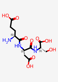 N[C@@H](CCC(=O)O)C(=O)N[C@@H](CC(=O)O)C(=O)N[C@@H](CO)C(=O)O